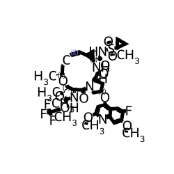 CC[C@@H]1O[C@H](C)CC/C=C\C2C[C@@]2(C(=O)NS(=O)(=O)C2(C)CC2)NC(=O)[C@@H]2C[C@@H](Oc3cc(OC)nc4cc(OC)c(F)cc34)CN2C(=O)[C@H]1NC(=O)OC(C)(C)C(F)(F)F